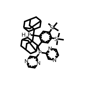 C[Si](C)(C)c1cc(CP(c2cnccn2)c2cnccn2)c(C(P)(C23CC4CC(CC(C4)C2)C3)C23CC4CC(CC(C4)C2)C3)cc1[Si](C)(C)C